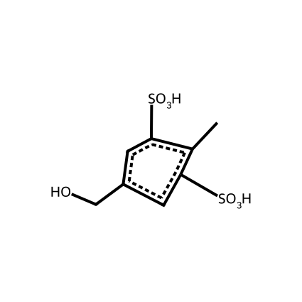 Cc1c(S(=O)(=O)O)cc(CO)cc1S(=O)(=O)O